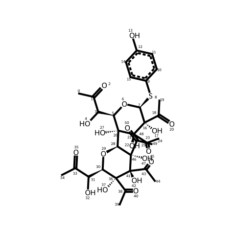 CC(=O)C(O)[C@H]1O[C@@H](Sc2ccc(O)cc2)[C@@](O)(C(C)=O)[C@](O)(C(C)=O)[C@@]1(O)[C@@H]1O[C@H](C(O)C(C)=O)[C@](O)(C(C)=O)[C@@](O)(C(C)=O)[C@]1(O)C(C)=O